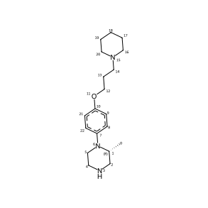 C[C@@H]1CNCCN1c1ccc(OCCCN2CCCCC2)cc1